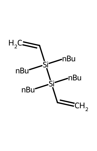 C=C[Si](CCCC)(CCCC)[Si](C=C)(CCCC)CCCC